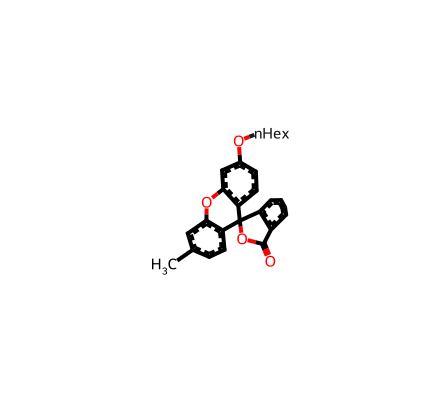 CCCCCCOc1ccc2c(c1)Oc1cc(C)ccc1C21OC(=O)c2ccccc21